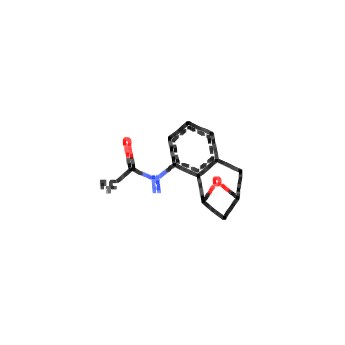 O=C(Nc1cccc2c1C1CC(C2)O1)C(F)(F)F